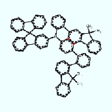 CC1(C)c2ccccc2-c2ccc(-c3ccccc3N(c3ccc(-c4ccccc4-c4cccc5c4C(C)(C)c4ccccc4-5)cc3)c3ccc4c(c3)C3(c5ccccc5-c5ccccc53)c3ccccc3-4)cc21